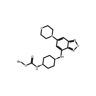 CC(C)(C)OC(=O)N[C@H]1CC[C@@H](Nc2cc(N3CCOCC3)cc3nonc23)CC1